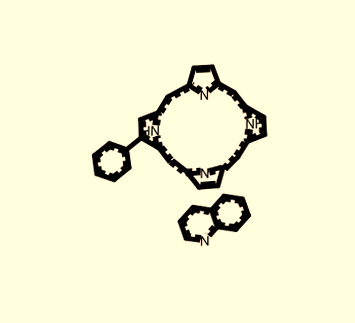 C1=Cc2cc3cc(-c4ccccc4)c(cc4nc(cc5ccc(cc1n2)[nH]5)C=C4)[nH]3.c1ccc2ncccc2c1